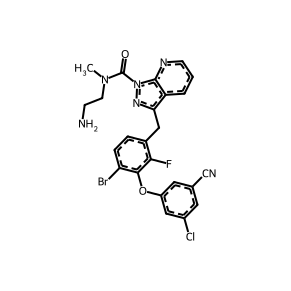 CN(CCN)C(=O)n1nc(Cc2ccc(Br)c(Oc3cc(Cl)cc(C#N)c3)c2F)c2cccnc21